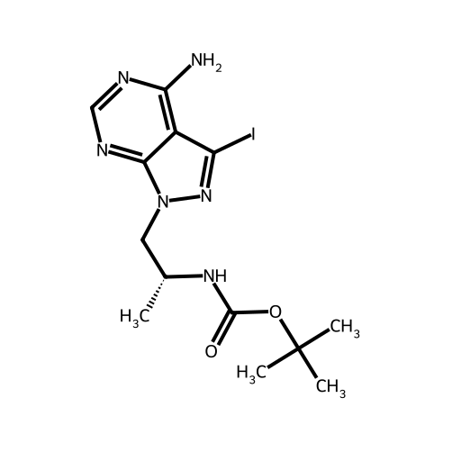 C[C@H](Cn1nc(I)c2c(N)ncnc21)NC(=O)OC(C)(C)C